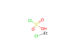 CCCl.O=S(=O)(O)Cl